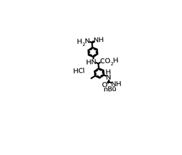 CCCCNC(=O)Nc1cc(C)cc(C(Nc2ccc(C(=N)N)cc2)C(=O)O)c1.Cl